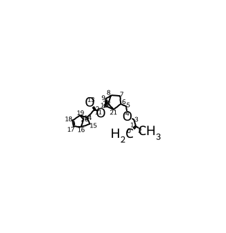 C=C(C)COCC1CC2C=C(OC(=O)C3CC4C=CC3C4)C1C2